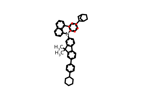 CC1(C)c2cc(-c3ccc(C4CCCCC4)cc3)ccc2-c2ccc(N(c3ccc(C4CC5CCC4C5)cc3)c3cccc4cccc(C5CCCCC5)c34)cc21